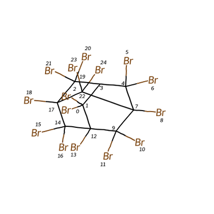 BrC1(Br)[C]2C(Br)(Br)C3(Br)C(Br)(Br)C1(Br)C(Br)(Br)C(Br)(C2(Br)Br)C3(Br)Br